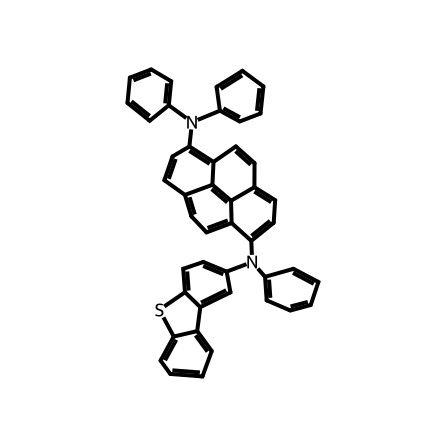 c1ccc(N(c2ccccc2)c2ccc3ccc4c(N(c5ccccc5)c5ccc6sc7ccccc7c6c5)ccc5ccc2c3c54)cc1